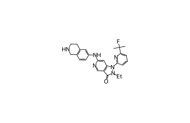 CCn1c(=O)c2cnc(Nc3ccc4c(c3)CCNC4)cc2n1-c1cccc(C(C)(C)F)n1